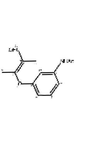 CC(=O)Nc1cccc(OC(C)=C(C)C=O)c1